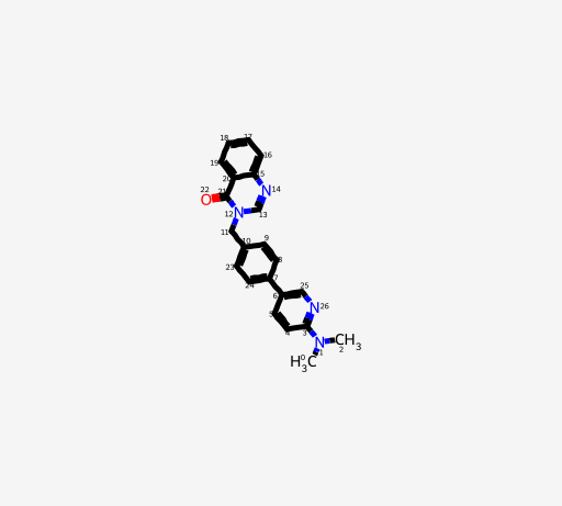 CN(C)c1ccc(-c2ccc(Cn3cnc4ccccc4c3=O)cc2)cn1